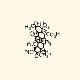 CC(C(=O)O)[C@@]12CCC(C)(C)C[C@H]1[C@H]1C(=O)C=C3[C@@]4(C)C=C(C#N)C(=O)C(C)(C)[C@@H]4CC[C@@]3(C)[C@]1(C)CC2